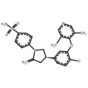 C=C1C[C@H](c2ccc(Cl)c(Oc3c(C)cncc3C)c2)CN1c1ccc(S(N)(=O)=O)cc1